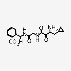 NC(CC1CC1)C(=O)C(=O)NCC(=O)NC(C(=O)O)c1ccccc1